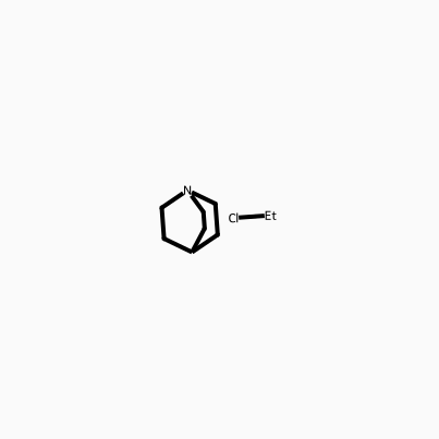 C1CN2CCC1CC2.CCCl